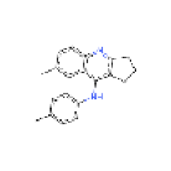 Cc1ccc(Nc2c3c(nc4ccc(C)cc24)CCC3)cc1